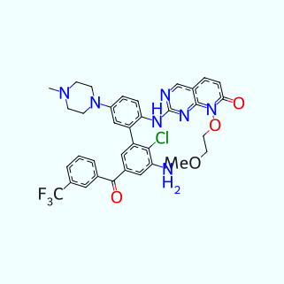 COCCOn1c(=O)ccc2cnc(Nc3ccc(N4CCN(C)CC4)cc3-c3cc(C(=O)c4cccc(C(F)(F)F)c4)cc(N)c3Cl)nc21